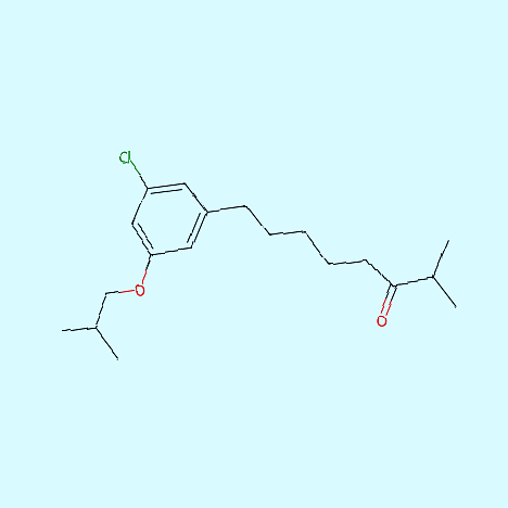 CC(C)COc1cc(Cl)cc(CCCCCC(=O)C(C)C)c1